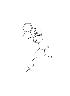 CC(C)(C)OC(=O)N(COCC[Si](C)(C)C)C1=N[C@](C)(c2cccc(F)c2F)[C@@H]2C[C@]2(S(C)(=O)=O)S1